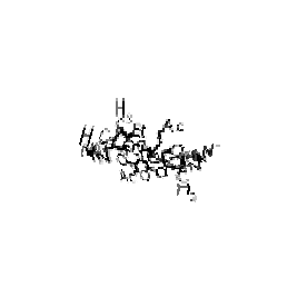 CCC1O[C@H](O[C@@H]2C(C(C)=O)O[C@@H](O[C@@H]3C4CO[C@H](O4)C(N=[N+]=[N-])[C@H]3C)C(OC(=O)CCC(C)=O)[C@H]2C)C(N=[N+]=[N-])[C@@H](C)[C@@H]1C